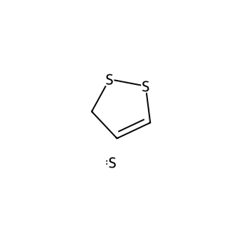 C1=CSSC1.[S]